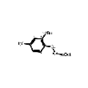 CCCCCCC[CH2][Al][O]c1ccc(C)cc1C(C)(C)C